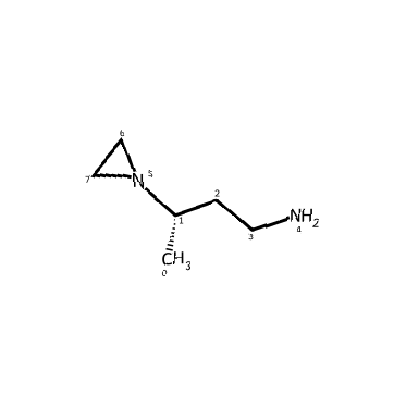 C[C@@H](CCN)N1CC1